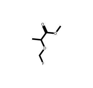 COC(=O)C(C)OCF